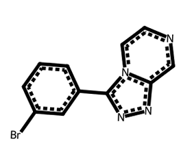 Brc1cccc(-c2nnc3cnccn23)c1